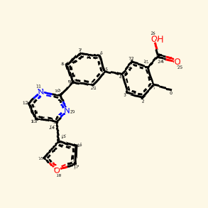 Cc1ccc(-c2cccc(-c3nccc(-c4ccoc4)n3)c2)cc1C(=O)O